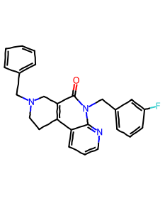 O=c1c2c(c3cccnc3n1Cc1cccc(F)c1)CCN(Cc1ccccc1)C2